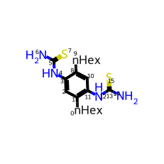 CCCCCCc1cc(NC(N)=S)c(CCCCCC)cc1NC(N)=S